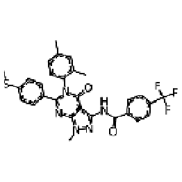 CSc1ccc(-c2nc3c(c(NC(=O)c4ccc(C(F)(F)F)cc4)nn3C)c(=O)n2-c2ccc(C)cc2C)cc1